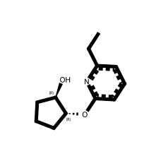 CCc1cccc(O[C@@H]2CCC[C@H]2O)n1